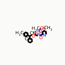 COc1ccnc(C(=O)NCC(=O)OC(C)C(c2ccc(C)cc2C)C2CCCCC2)c1OC(C)=O